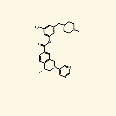 C[C@H]1CN(c2cncnc2)Cc2cc(C(=O)Nc3cc(CN4CCN(C)CC4)cc(C(F)(F)F)c3)ccc21